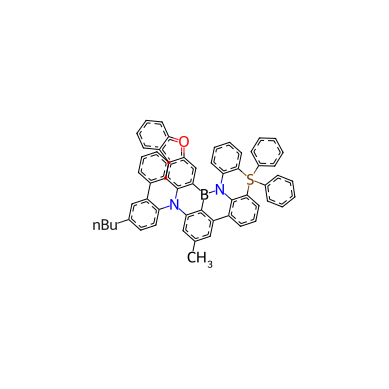 CCCCc1ccc(N2c3cc4c(cc3B3c5c(cc(C)cc52)-c2cccc5c2N3c2ccccc2S5(c2ccccc2)c2ccccc2)oc2ccccc24)c(-c2ccccc2)c1